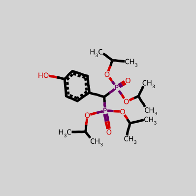 CC(C)OP(=O)(OC(C)C)C(c1ccc(O)cc1)P(=O)(OC(C)C)OC(C)C